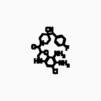 N#CC1(Cc2ccc(F)cc2)CCN(C(=O)C2CNc3cc(Cl)c(N)c(N)c3O2)CC1